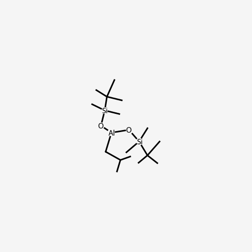 CC(C)[CH2][Al]([O][Si](C)(C)C(C)(C)C)[O][Si](C)(C)C(C)(C)C